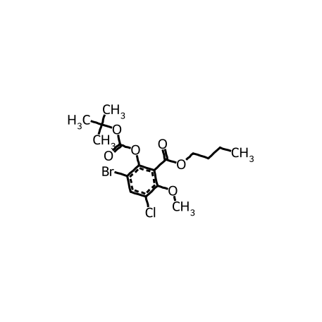 CCCCOC(=O)c1c(OC)c(Cl)cc(Br)c1OC(=O)OC(C)(C)C